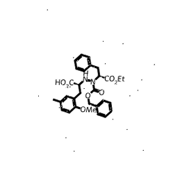 CCOC(=O)[C@H](Cc1ccccc1)N(N[C@@H](Cc1cc(C)ccc1OC)C(=O)O)C(=O)OCc1ccccc1